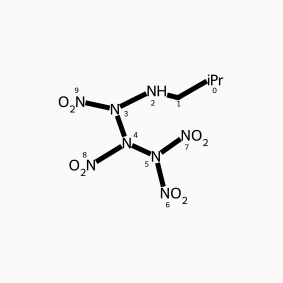 CC(C)CNN(N(N([N+](=O)[O-])[N+](=O)[O-])[N+](=O)[O-])[N+](=O)[O-]